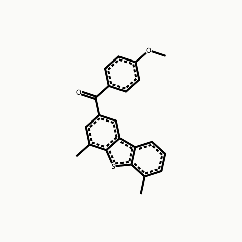 COc1ccc(C(=O)c2cc(C)c3sc4c(C)cccc4c3c2)cc1